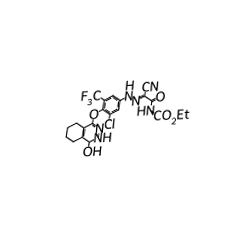 CCOC(=O)NC(=O)/C(C#N)=N/Nc1cc(Cl)c(OC2=NNC(O)C3=C2CCCC3)c(C(F)(F)F)c1